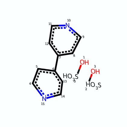 O=S(=O)(O)O.O=S(=O)(O)O.c1cc(-c2ccncc2)ccn1